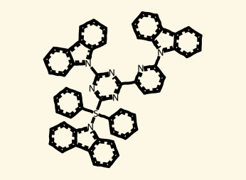 c1ccc(S(c2ccccc2)(c2nc(-c3cccc(-n4c5ccccc5c5ccccc54)n3)nc(-n3c4ccccc4c4ccccc43)n2)n2c3ccccc3c3ccccc32)cc1